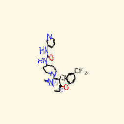 C=N/C(=C(C#N)\C(=C/C)Oc1ccc(C(F)(F)F)cc1)N1CCC(NC(=O)Nc2cccnc2)CC1